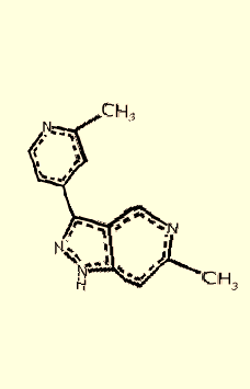 Cc1cc(-c2n[nH]c3cc(C)ncc23)ccn1